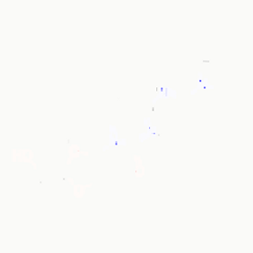 CN(C)/C=N/c1nc(=O)n([C@@H]2CO[C@H](CO)O2)cc1F